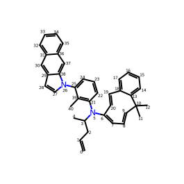 C=CCC(C)N(C1=C/C=C/C(C)(C)c2ccccc2\C=C\1)c1cccc(-n2ccc3cc4ccccc4cc32)c1C